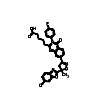 CC1(c2nc3ccc(Cl)cc3o2)CC(c2ccc3c(=O)n(-c4ccc(F)cc4)c(CCCCC(=O)O)nc3c2)=NO1